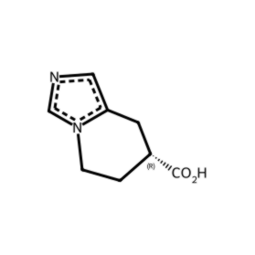 O=C(O)[C@@H]1CCn2cncc2C1